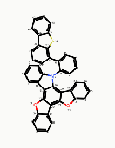 c1ccc(-n2c3ccccc3c3c4oc5ccccc5c4c4oc5ccccc5c4c32)c(-c2cccc3c2sc2ccccc23)c1